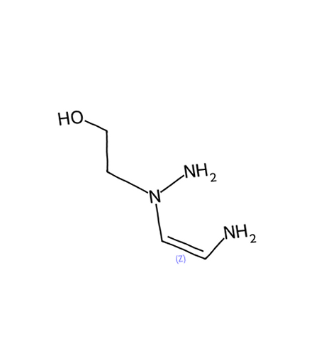 N/C=C\N(N)CCO